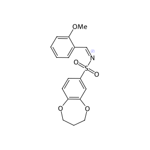 COc1ccccc1/C=N\S(=O)(=O)c1ccc2c(c1)OCCCO2